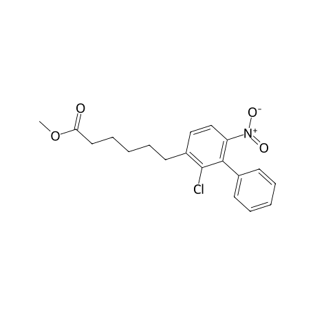 COC(=O)CCCCCc1ccc([N+](=O)[O-])c(-c2ccccc2)c1Cl